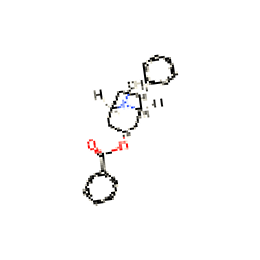 CN1[C@H]2C[C@@H](OC(=O)c3ccccc3)C[C@@H]1[C@@H](c1ccccc1)C2